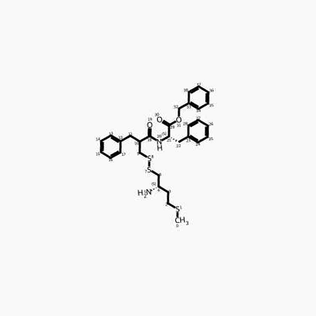 CSCC[C@H](N)CSSCC(Cc1ccccc1)C(=O)N[C@@H](Cc1ccccc1)C(=O)OCc1ccccc1